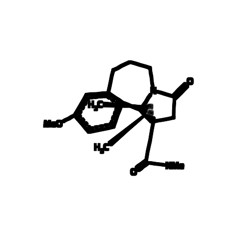 CNC(=O)C1C2CC(=O)N3CCCc4cc(OC)ccc4C23[C@@H](C)[C@@H]1C